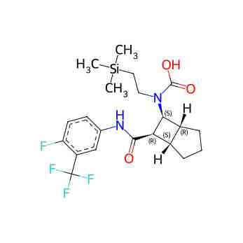 C[Si](C)(C)CCN(C(=O)O)[C@H]1[C@@H]2CCC[C@@H]2[C@H]1C(=O)Nc1ccc(F)c(C(F)(F)F)c1